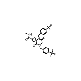 CNC(=O)N1CC2(C1)C(=O)N(Cc1ccc(C(F)(F)F)cc1)CC(=O)N2Cc1ccc(C(F)(F)F)cc1